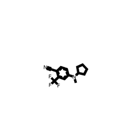 CN(c1ccc(C#N)c(C(F)(F)F)c1)C1CCCC1